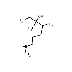 CBCCCC(C)C(C)(C)CC